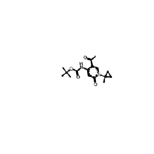 CC(=O)c1cn(C2(C)CC2)c(=O)cc1NC(=O)OC(C)(C)C